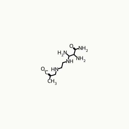 CC(=C=O)CNCCNC(N)C(N)C(N)=O